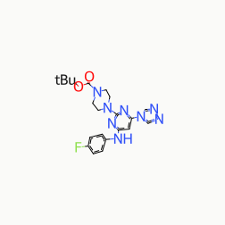 CC(C)(C)OC(=O)N1CCN(c2nc(Nc3ccc(F)cc3)cc(-n3cnnc3)n2)CC1